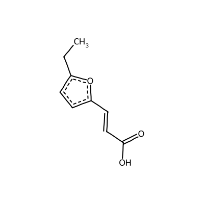 CCc1ccc(C=CC(=O)O)o1